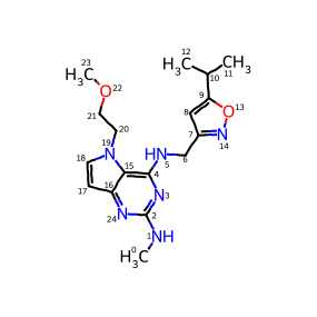 CNc1nc(NCc2cc(C(C)C)on2)c2c(ccn2CCOC)n1